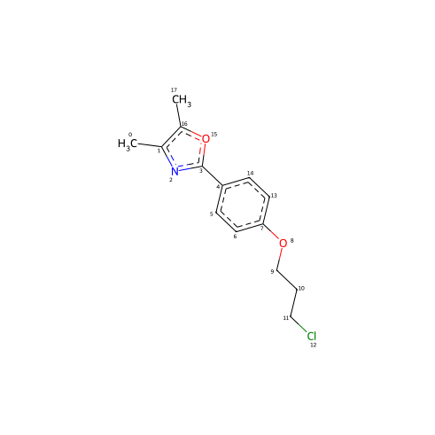 Cc1nc(-c2ccc(OCCCCl)cc2)oc1C